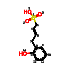 O=S(=O)(O)CC=CCc1ccccc1O